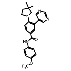 CC1(C)CCN(c2ccc(C(=O)Nc3ccc(OC(F)(F)F)cc3)cc2-c2cncnc2)C1